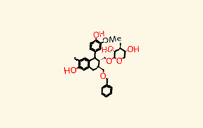 COc1cc(C2c3cc(C)c(O)cc3C[C@H](COCc3ccccc3)[C@H]2CO[C@@H]2OC[C@@H](O)[C@H](C)[C@H]2O)ccc1O